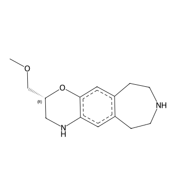 COC[C@H]1CNc2cc3c(cc2O1)CCNCC3